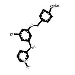 COc1ccc(COc2cc(Br)cc(Nc3ccc[n+]([O-])c3)c2)cc1